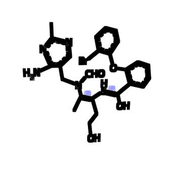 C/C(=C(CCO)/[SH]=C(\O)c1ccccc1Oc1ccccc1Br)N(C=O)Cc1cnc(C)nc1N